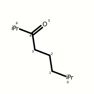 CC(C)CCCC(=O)C(C)C